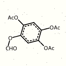 CC(=O)Oc1cc(OC(C)=O)c(OC(C)=O)cc1OC=O